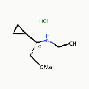 COC[C@@H](NCC#N)C1CC1.Cl